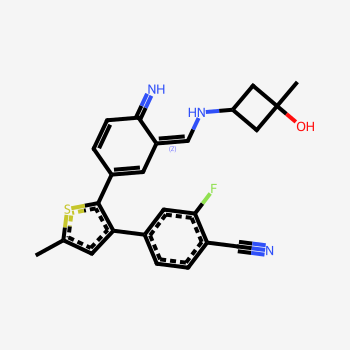 Cc1cc(-c2ccc(C#N)c(F)c2)c(C2=C/C(=C/NC3CC(C)(O)C3)C(=N)C=C2)s1